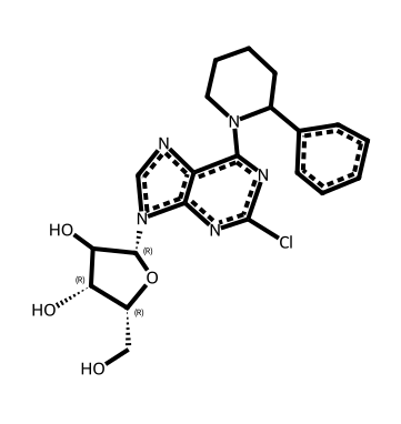 OC[C@H]1O[C@@H](n2cnc3c(N4CCCCC4c4ccccc4)nc(Cl)nc32)C(O)[C@H]1O